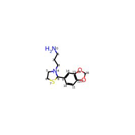 NCCCN1CCSC1c1ccc2c(c1)OCO2